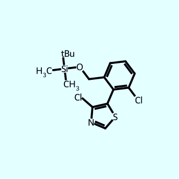 CC(C)(C)[Si](C)(C)OCc1cccc(Cl)c1-c1scnc1Cl